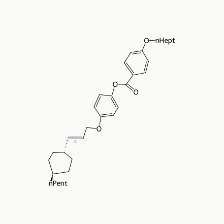 CCCCCCCOc1ccc(C(=O)Oc2ccc(OC/C=C/[C@H]3CC[C@H](CCCCC)CC3)cc2)cc1